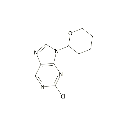 Clc1ncc2ncn(C3CCCCO3)c2n1